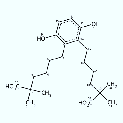 CC(C)(CCCCc1c(O)ccc(O)c1CCCCC(C)(C)C(=O)O)C(=O)O